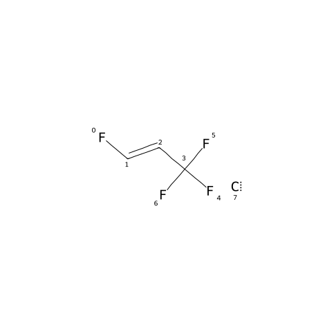 FC=CC(F)(F)F.[C]